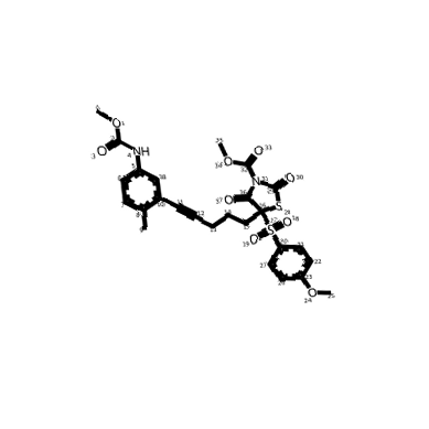 COC(=O)Nc1ccc(C)c(C#CCCCC2(S(=O)(=O)c3ccc(OC)cc3)SC(=O)N(C(=O)OC)C2=O)c1